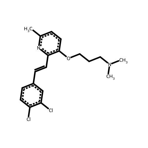 Cc1ccc(OCCCN(C)C)c(C=Cc2ccc(Cl)c(Cl)c2)n1